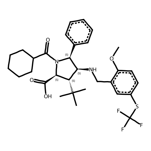 COc1ccc(SC(F)(F)F)cc1CN[C@H]1[C@H](C(C)(C)C)[C@@H](C(=O)O)N(C(=O)C2CCCCC2)[C@H]1c1ccccc1